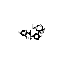 CC1(c2cc(NC(=O)c3ncc(F)cc3Cl)ccc2F)CN(N)COCC1(F)F